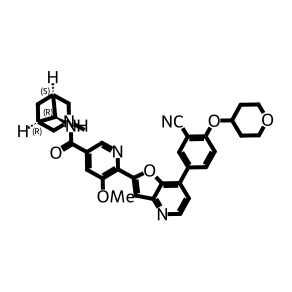 COc1cc(C(=O)N[C@H]2[C@@H]3C[C@H]2CN(C)C3)cnc1-c1cc2nccc(-c3ccc(OC4CCOCC4)c(C#N)c3)c2o1